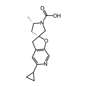 C[C@H]1C[C@]2(Cc3cc(C4CC4)ncc3O2)CN1C(=O)O